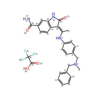 CC(Nc1ccc(CN(C)Cc2ccccc2)cc1)=C1C(=O)Nc2cc(C(N)=O)ccc21.O=C(O)C(F)(F)F